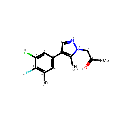 CNC(=O)Cn1ncc(-c2cc(Cl)c(F)c(C(C)(C)C)c2)c1C